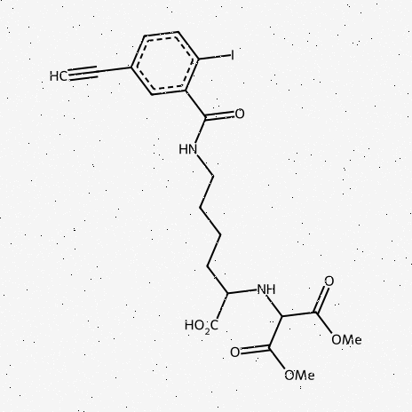 C#Cc1ccc(I)c(C(=O)NCCCCC(NC(C(=O)OC)C(=O)OC)C(=O)O)c1